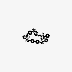 CS(=O)(=O)N1CCN(CCC(=O)N[C@@H](C(=O)N2CCC[C@H]2c2ncc(-c3ccc(-c4ccc(-c5cnc([C@@H]6CCCN6C(=O)Cc6ccccc6)s5)cc4)cc3)s2)c2ccccc2)CC1